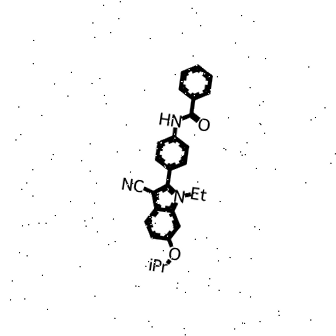 CCn1c(-c2ccc(NC(=O)c3ccccc3)cc2)c(C#N)c2ccc(OC(C)C)cc21